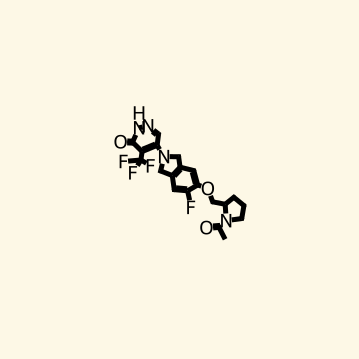 CC(=O)N1CCCC1COc1cc2c(cc1F)CN(c1cn[nH]c(=O)c1C(F)(F)F)C2